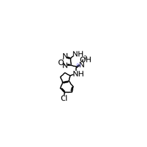 Nc1nonc1/C(=N\O)NC1CCc2cc(Cl)ccc21